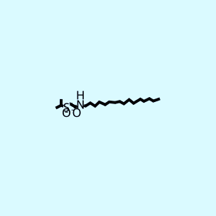 CCCCCCCCCCCCCCCCNC(=O)C[S+]([O-])C(C)C